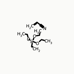 C=CC#N.C=C[Si](OCC)(OCC)OCC